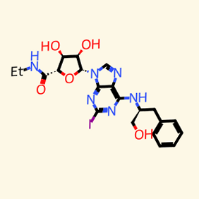 CCNC(=O)[C@H]1O[C@@H](n2cnc3c(N[C@H](CO)Cc4ccccc4)nc(I)nc32)[C@H](O)[C@@H]1O